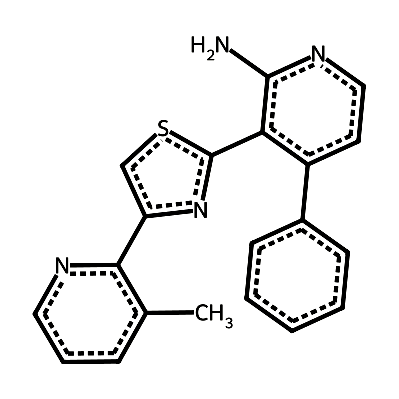 Cc1cccnc1-c1csc(-c2c(-c3ccccc3)ccnc2N)n1